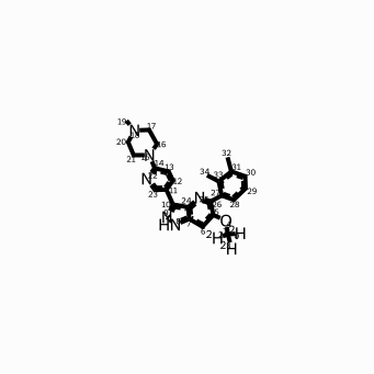 [2H]C([2H])([2H])Oc1cc2[nH]nc(-c3ccc(N4CCN(C)CC4)nc3)c2nc1-c1cccc(C)c1C